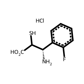 Cl.N[C@@H](c1ccccc1F)C(S)C(=O)O